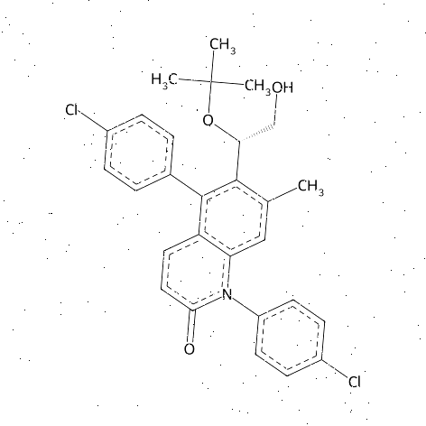 Cc1cc2c(ccc(=O)n2-c2ccc(Cl)cc2)c(-c2ccc(Cl)cc2)c1[C@@H](CO)OC(C)(C)C